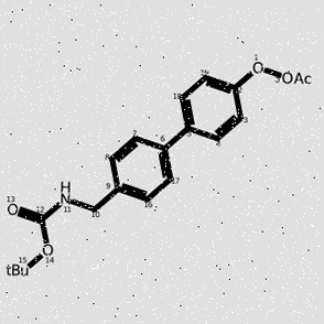 CC(=O)OOc1ccc(-c2ccc(CNC(=O)OC(C)(C)C)cc2)cc1